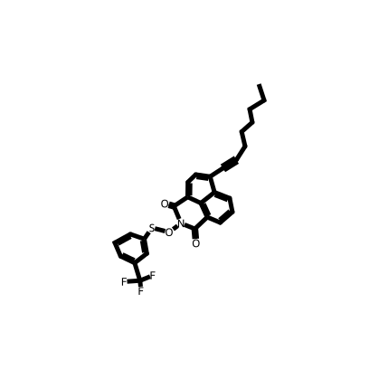 CCCCCCC#Cc1ccc2c3c(cccc13)C(=O)N(OSc1cccc(C(F)(F)F)c1)C2=O